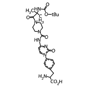 CC(C)(C)OC(=O)NC(C)(C)C(=O)N1CCN(C(=O)Nc2ccn(-c3ccc(CC(N)C(=O)O)cc3)c(=O)n2)CC1